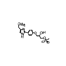 COCc1c[nH]c(-c2ccc(OCC(O)COS(C)(=O)=O)cc2)n1